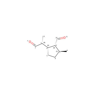 C[C@@H](C=O)[C@H]1CC[C@H](C)[C@H]1C=O